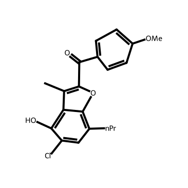 CCCc1cc(Cl)c(O)c2c(C)c(C(=O)c3ccc(OC)cc3)oc12